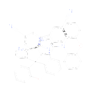 N#Cc1ccc2c(c1)c1cc(C#N)ccc1n2-c1cccc2c1C1(c3ccccc3O2)c2cccnc2-c2ncc(N3c4ccccc4Oc4ccccc43)cc21